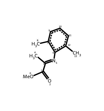 COC(=O)C(C)=Nc1c(C)cccc1C